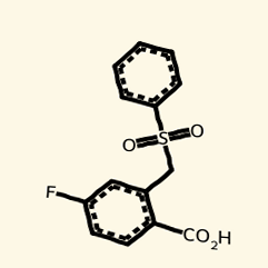 O=C(O)c1ccc(F)cc1CS(=O)(=O)c1ccccc1